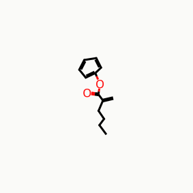 C=C(CCCC)C(=O)Oc1ccccc1